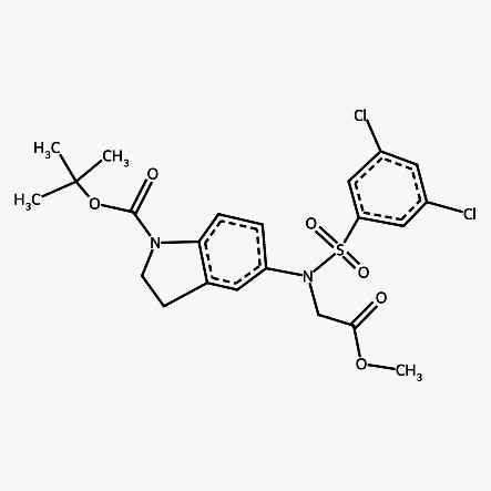 COC(=O)CN(c1ccc2c(c1)CCN2C(=O)OC(C)(C)C)S(=O)(=O)c1cc(Cl)cc(Cl)c1